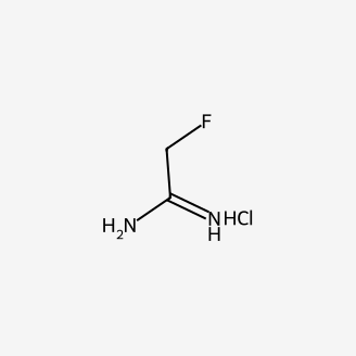 Cl.N=C(N)CF